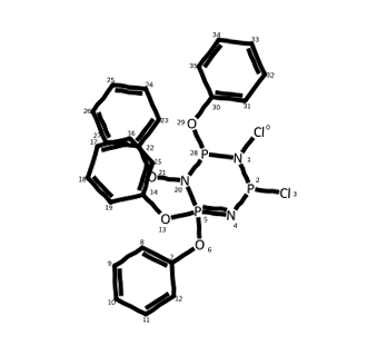 ClN1P(Cl)N=P(Oc2ccccc2)(Oc2ccccc2)N(Oc2ccccc2)P1Oc1ccccc1